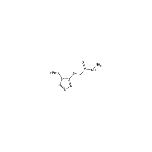 CCCCCn1nnnc1SCC(=O)NN